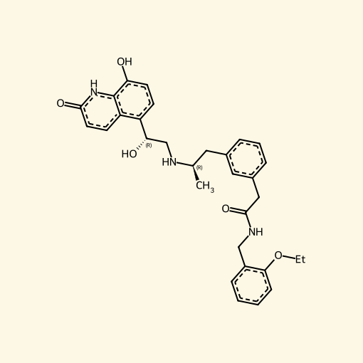 CCOc1ccccc1CNC(=O)Cc1cccc(C[C@@H](C)NC[C@H](O)c2ccc(O)c3[nH]c(=O)ccc23)c1